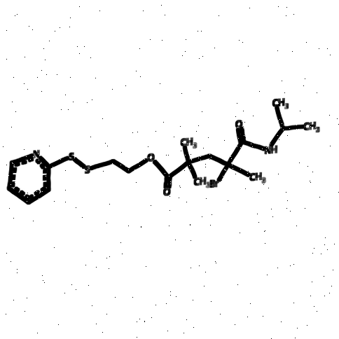 CC(C)NC(=O)C(C)(Br)CC(C)(C)C(=O)OCCSSc1ccccn1